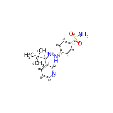 CC(C)(C)C(=NNc1ccc(S(N)(=O)=O)cc1)c1cccnc1